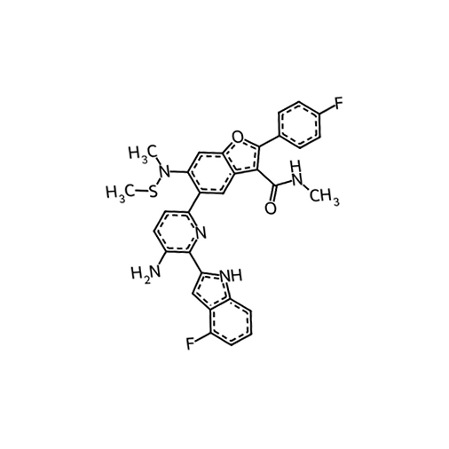 CNC(=O)c1c(-c2ccc(F)cc2)oc2cc(N(C)SC)c(-c3ccc(N)c(-c4cc5c(F)cccc5[nH]4)n3)cc12